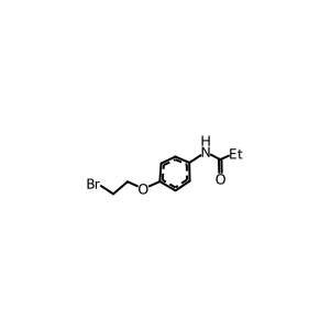 CCC(=O)Nc1ccc(OCCBr)cc1